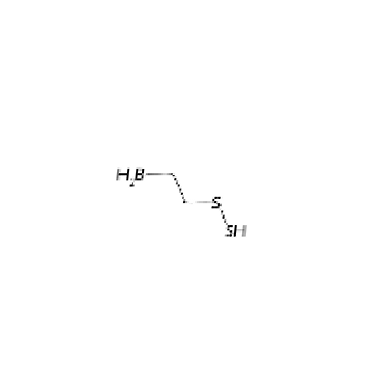 BCCSS